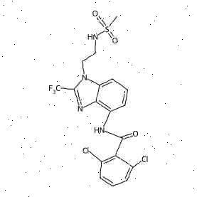 CS(=O)(=O)NCCn1c(C(F)(F)F)nc2c(NC(=O)c3c(Cl)cccc3Cl)cccc21